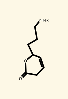 CCCCCCCCCC1C=CCC(=O)O1